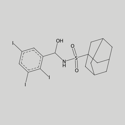 O=S(=O)(NC(O)c1cc(I)cc(I)c1I)C12CC3CC(CC(C3)C1)C2